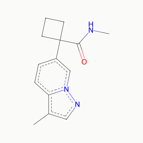 CNC(=O)C1(c2ccc3c(C)cnn3c2)CCC1